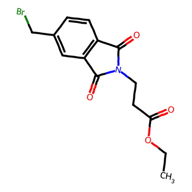 CCOC(=O)CCN1C(=O)c2ccc(CBr)cc2C1=O